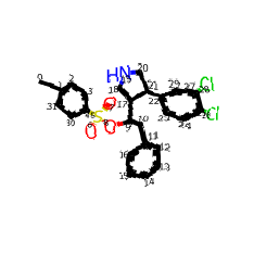 Cc1ccc(S(=O)(=O)OC(Cc2ccccc2)C2CNCC2c2ccc(Cl)c(Cl)c2)cc1